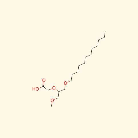 CCCCCCCCCCCCOCC(COC)OCC(=O)O